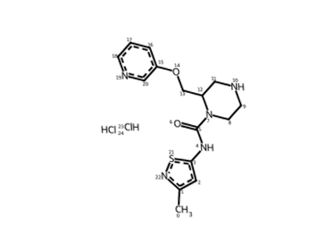 Cc1cc(NC(=O)N2CCNCC2COc2cccnc2)sn1.Cl.Cl